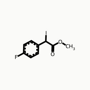 COC(=O)C(I)c1ccc(F)cc1